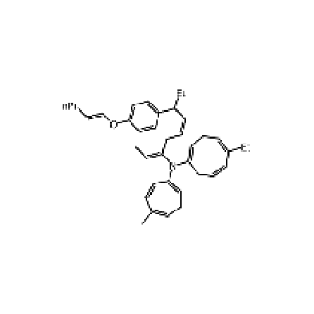 C/C=C(\C/C=C\C(CC)c1ccc(O/C=C/CCC)cc1)N(C1=CCC=C(C)C=C1)/C1=C/C/C=C(CC)\C=C/C1